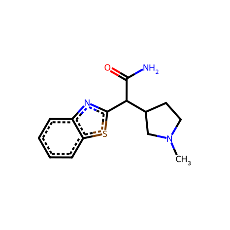 CN1CCC(C(C(N)=O)c2nc3ccccc3s2)C1